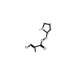 CCC=C(C)C(=O)OOC1CCCO1